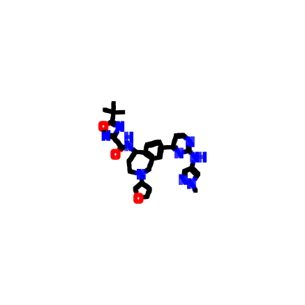 Cn1cc(Nc2nccc(-c3ccc4c(c3)CN(C3CCOC3)CCC4NC(=O)c3noc(C(C)(C)C)n3)n2)cn1